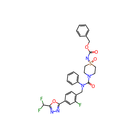 O=C(N=S1(=O)CCN(C(=O)N(Cc2ccc(-c3nnc(C(F)F)o3)cc2F)c2ccccc2)CC1)OCc1ccccc1